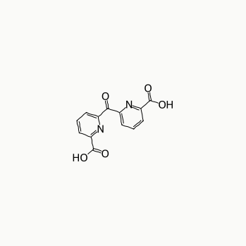 O=C(O)c1cccc(C(=O)c2cccc(C(=O)O)n2)n1